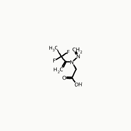 C=NN(CC(=O)O)C(=C)C(C)(F)F